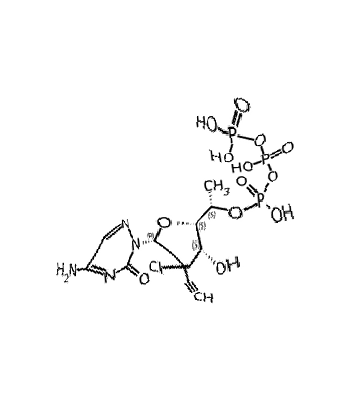 C#CC1(Cl)[C@@H](O)[C@@H]([C@H](C)OP(=O)(O)OP(=O)(O)OP(=O)(O)O)O[C@H]1n1ncc(N)nc1=O